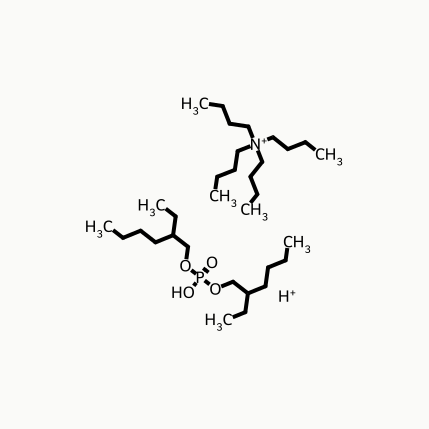 CCCCC(CC)COP(=O)(O)OCC(CC)CCCC.CCCC[N+](CCCC)(CCCC)CCCC.[H+]